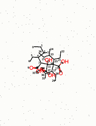 CCC(C)C(CC)C(C(=O)O)C(O)(C(=O)O)C(C(=O)O)(C(CC)C(C)CC)C(CC)C(C)CC